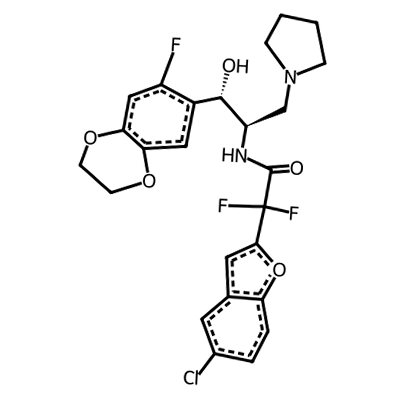 O=C(N[C@H](CN1CCCC1)[C@@H](O)c1cc2c(cc1F)OCCO2)C(F)(F)c1cc2cc(Cl)ccc2o1